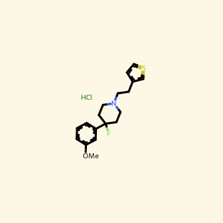 COc1cccc(C2(F)CCN(CCc3ccsc3)CC2)c1.Cl